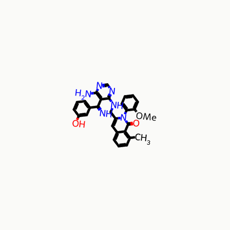 COc1ccccc1-n1c(CNc2ncnc(N)c2C(=N)c2cccc(O)c2)cc2cccc(C)c2c1=O